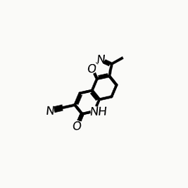 Cc1noc2c1CCc1[nH]c(=O)c(C#N)cc1-2